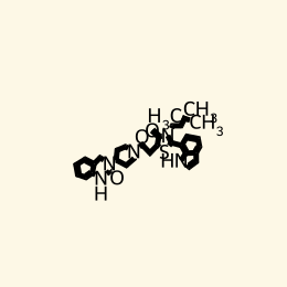 CC(C)(C)CCN1C(=O)C(CC(=O)N2CCC(N3Cc4ccccc4NC3=O)CC2)SC1c1cccc2cc[nH]c12